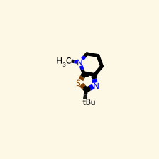 CN1CCCc2nc(C(C)(C)C)sc21